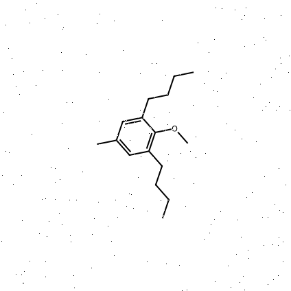 CCCCc1cc(C)cc(CCCC)c1OC